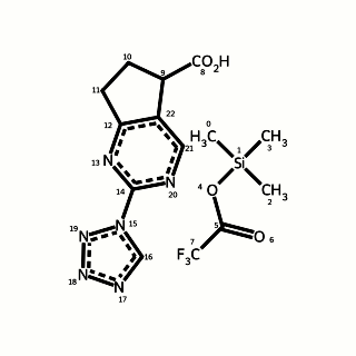 C[Si](C)(C)OC(=O)C(F)(F)F.O=C(O)C1CCc2nc(-n3cnnn3)ncc21